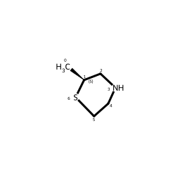 C[C@H]1CNCCS1